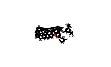 Cc1ccnc(-c2cc(C3C4c5cc6c7c8c(cc9cc%10c%11c%12c(cc%13cc%14c%15c(c%16c5c7c5c%16c7c%15c%13c%12c7c7c%11c9c8c57)C4(C%14)CN3Cc3cc(C(C)(C)C)cc(C(C)(C)C)c3)C%10)C6)ccn2)c1